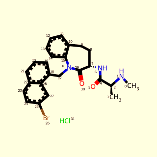 CN[C@@H](C)C(=O)N[C@H]1CCc2ccccc2N(Cc2cccc3ccc(Br)cc23)C1=O.Cl